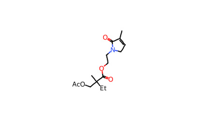 CCC(C)(COC(C)=O)C(=O)OCCN1CC=C(C)C1=O